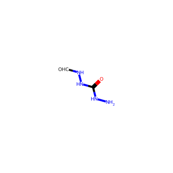 NNC(=O)NNC=O